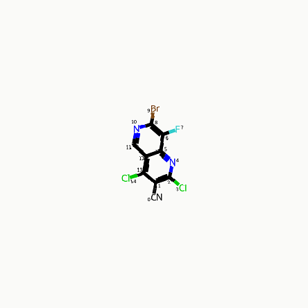 N#Cc1c(Cl)nc2c(F)c(Br)ncc2c1Cl